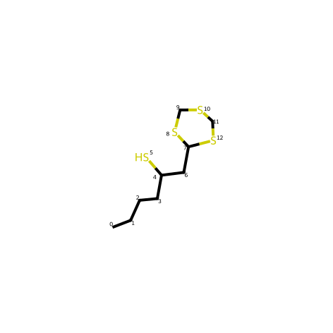 CCCCC(S)CC1SCSCS1